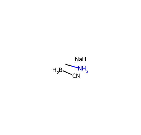 BC#N.CN.[NaH]